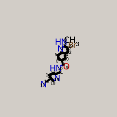 CNc1nc2ccc(C(=O)NCc3ccc(C#N)cn3)cc2cc1Br